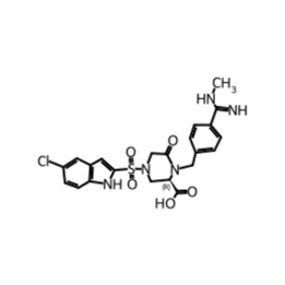 CNC(=N)c1ccc(CN2C(=O)CN(S(=O)(=O)c3cc4cc(Cl)ccc4[nH]3)C[C@@H]2C(=O)O)cc1